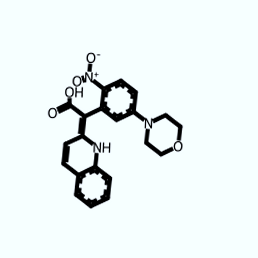 O=C(O)C(=C1C=Cc2ccccc2N1)c1cc(N2CCOCC2)ccc1[N+](=O)[O-]